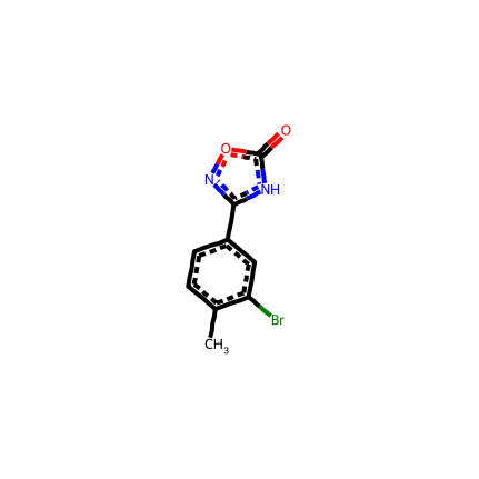 Cc1ccc(-c2noc(=O)[nH]2)cc1Br